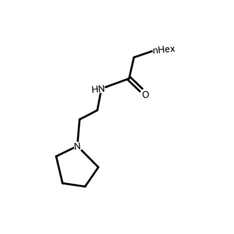 CCCCCCCC(=O)NCCN1CCCC1